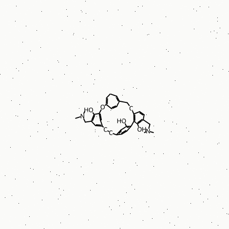 CN(C)Cc1cc2cc(c1O)OC1=CCC=C(C=C1)CCc1ccc(CN(C)C)c(O)c1-c1ccc(cc1O)CC2